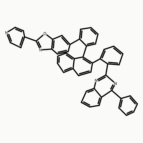 c1ccc(-c2nc(-c3ccccc3-c3ccc4ccccc4c3-c3ccccc3-c3ccc4nc(-c5ccncc5)oc4c3)nc3ccccc23)cc1